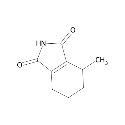 CC1CCCC2=C1C(=O)NC2=O